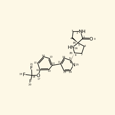 O=C1NCC[C@]12CC[C@H](c1cc(-c3cccc(OC(F)(F)F)c3)ccn1)N2